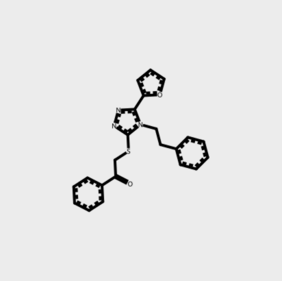 O=C(CSc1nnc(-c2ccco2)n1CCc1ccccc1)c1ccccc1